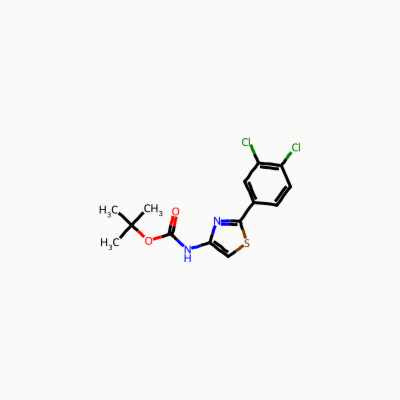 CC(C)(C)OC(=O)Nc1csc(-c2ccc(Cl)c(Cl)c2)n1